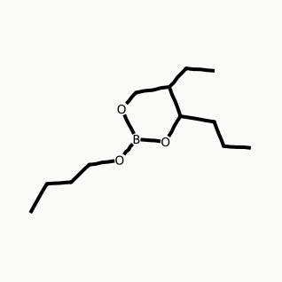 CCCCOB1OCC(CC)C(CCC)O1